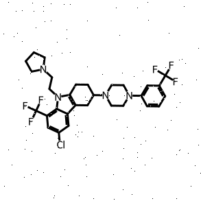 FC(F)(F)c1cccc(N2CCN(C3CCc4c(c5cc(Cl)cc(C(F)(F)F)c5n4CCN4CCCC4)C3)CC2)c1